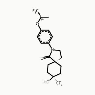 C[C@@H](Oc1ccc(N2CC[C@]3(CC[C@@](O)(C(F)(F)F)CC3)C2=O)cc1)C(F)(F)F